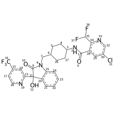 O=C(NC1CCC(CN2C(=O)C(O)(c3cc(C(F)(F)F)ccn3)c3ccccc32)CC1)c1cc(Cl)cnc1C(F)F